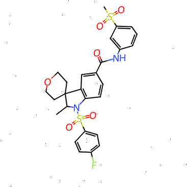 CC1N(S(=O)(=O)c2ccc(F)cc2)c2ccc(C(=O)Nc3cccc(S(C)(=O)=O)c3)cc2C12CCOCC2